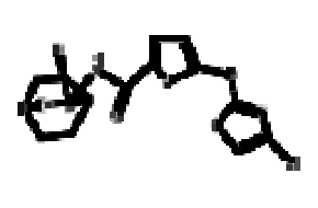 O=C(N[C@H]1CN2CCC1CC2)c1ccc(Oc2nc(Cl)co2)s1